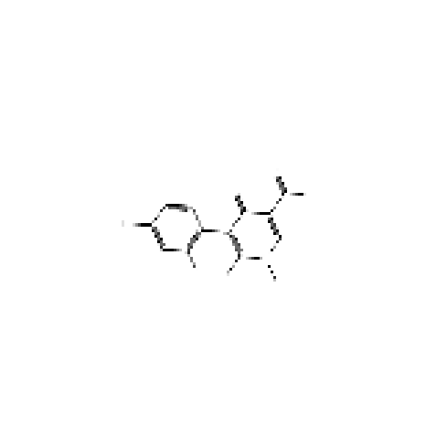 Cc1c(-c2ccc(F)cc2F)c(=O)c(C(=O)O)cn1C